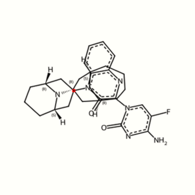 Nc1nc(=O)n(-c2nc3ccccc3n(C3C[C@H]4CCC[C@@H](C3)N4[C@H]3C[C@@H]4CCCC[C@@H](C4)C3)c2=O)cc1F